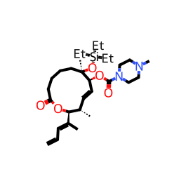 C=C/C=C(\C)[C@H]1OC(=O)CCCC[C@@](C)(O[Si](CC)(CC)CC)[C@@H](OC(=O)N2CCN(C)CC2)/C=C/[C@@H]1C